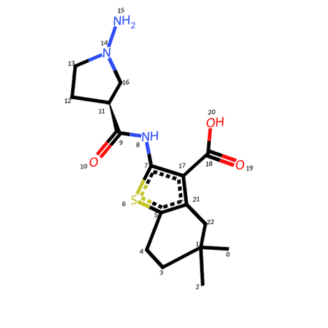 CC1(C)CCc2sc(NC(=O)[C@H]3CCN(N)C3)c(C(=O)O)c2C1